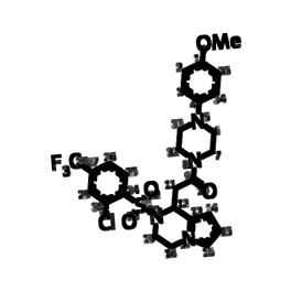 COc1ccc(N2CCN(C(=O)CC3c4cccn4CCN3S(=O)(=O)c3ccc(C(F)(F)F)cc3Cl)CC2)cc1